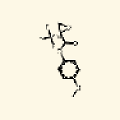 COc1ccc(OC(=O)[C@@]2(C(F)(F)F)CO2)cc1